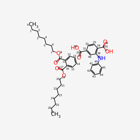 CCCCCCCCOC(=O)c1ccccc1C(=O)OCCCCCCCC.O=C(O)c1ccc(C(=O)O)c(Nc2ccccc2)c1